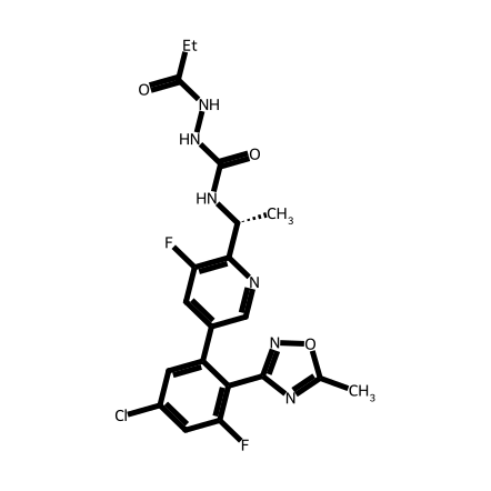 CCC(=O)NNC(=O)N[C@H](C)c1ncc(-c2cc(Cl)cc(F)c2-c2noc(C)n2)cc1F